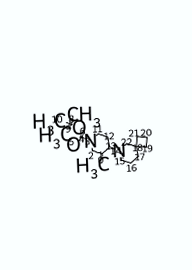 CC1CN(C(=O)OC(C)(C)C)CCC1N1CCCC2(CCC2)C1